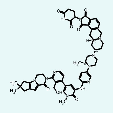 C[C@H]1CN([C@H]2CCN3Cc4ccc5c(c4C[C@H]3C2)C(=O)N(C2CCC(=O)NC2=O)C5=O)CCN1c1ccc(Nc2cc(-c3ccnc(N4CCn5c(cc6c5CC(C)(C)C6)C4=O)c3CO)cn(C)c2=O)nc1